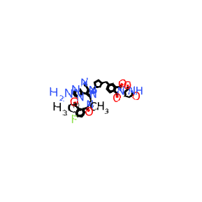 C[C@H]1Oc2nc(cnc2N)-c2c(nn(C3CCC(Cc4ccc5c(c4)C(=O)N(C4CCC(=O)NC4=O)C5=O)C3)c2C#N)CN(C)C(=O)c2ccc(F)cc21